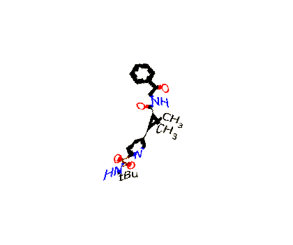 CC(C)(C)NS(=O)(=O)c1ccc([C@H]2[C@H](C(=O)NCC(=O)c3ccccc3)C2(C)C)cn1